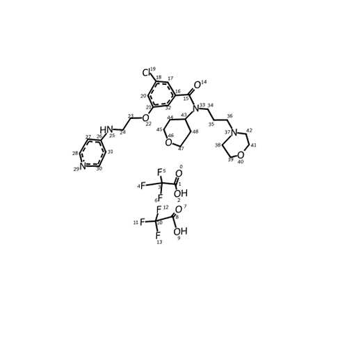 O=C(O)C(F)(F)F.O=C(O)C(F)(F)F.O=C(c1cc(Cl)cc(OCCNc2ccncc2)c1)N(CCCN1CCOCC1)C1CCOCC1